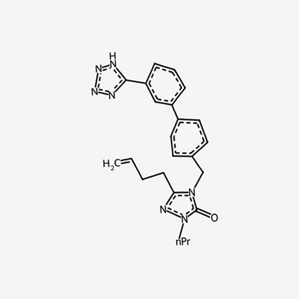 C=CCCc1nn(CCC)c(=O)n1Cc1ccc(-c2cccc(-c3nnn[nH]3)c2)cc1